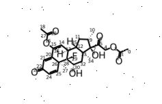 CC(=O)OCC(=O)[C@@]1(O)[C@@H](C)C[C@H]2[C@@H]3C=C(OC(C)=O)C4=CC(=O)C=C[C@]4(C)[C@@]3(F)[C@@H](O)C[C@@]21C